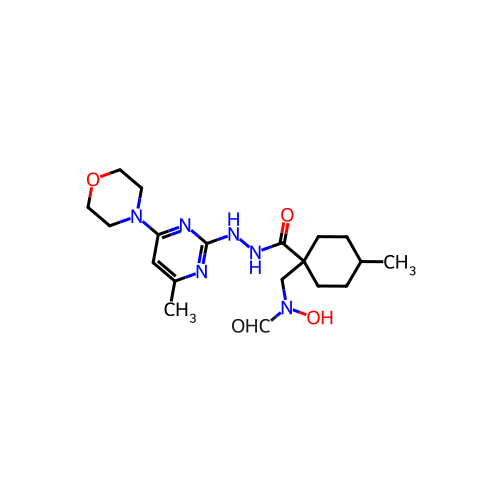 Cc1cc(N2CCOCC2)nc(NNC(=O)C2(CN(O)C=O)CCC(C)CC2)n1